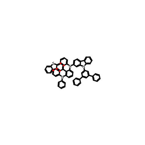 c1ccc(-c2cc(-c3ccccc3)cc(-n3c4ccccc4c4ccc(N(c5ccccc5)c5cccc(N(c6ccccc6)c6ccccc6)c5-c5ccc6sc7ccccc7c6c5)cc43)c2)cc1